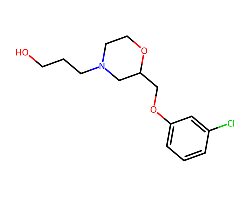 OCCCN1CCOC(COc2cccc(Cl)c2)C1